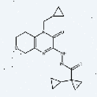 O=C(NNc1nc2c(n(CC3CC3)c1=O)CCOC2)C1(C2CC2)CC1